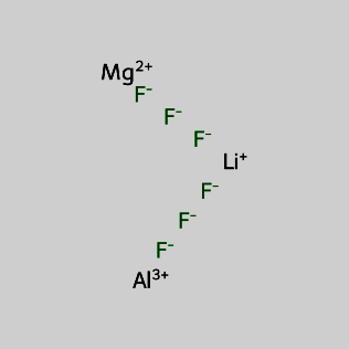 [Al+3].[F-].[F-].[F-].[F-].[F-].[F-].[Li+].[Mg+2]